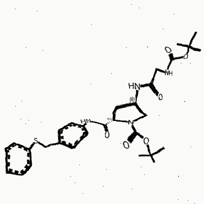 CC(C)(C)OC(=O)NCC(=O)N[C@@H]1C[C@@H](C(=O)Nc2ccc(CSc3ccccc3)cc2)N(C(=O)OC(C)(C)C)C1